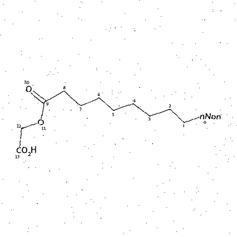 CCCCCCCCCCCCCCCCCC(=O)OCC(=O)O